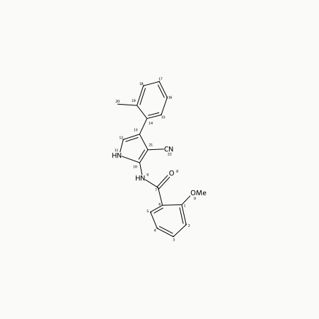 COc1ccccc1C(=O)Nc1[nH]cc(-c2ccccc2C)c1C#N